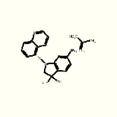 C=C(C)C(=O)O.CCN1CC(C)(C)c2ccc([N+](=O)[O-])cc21.c1ccc2ncccc2c1